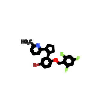 O=C(O)c1cccc(C2=C(c3cc(Br)ccc3OCc3c(F)cc(F)cc3F)CCC2)n1